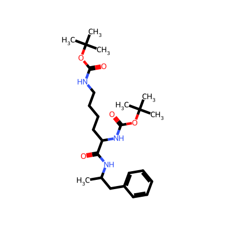 CC(Cc1ccccc1)NC(=O)C(CCCCNC(=O)OC(C)(C)C)NC(=O)OC(C)(C)C